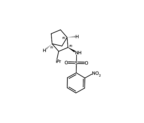 CC(C)C1[C@H]2CC[C@H](C2)[C@H]1NS(=O)(=O)c1ccccc1[N+](=O)[O-]